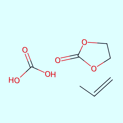 C=CC.O=C(O)O.O=C1OCCO1